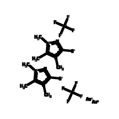 Cc1n(C)c([S-])n[n+]1C.Cc1n(C)c([S-])n[n+]1C.F[B-](F)(F)F.F[B-](F)(F)F.[Au+].[Au+]